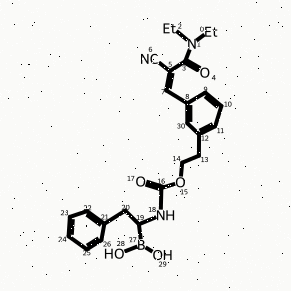 CCN(CC)C(=O)C(C#N)=Cc1cccc(CCOC(=O)NC(Cc2ccccc2)B(O)O)c1